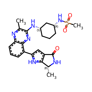 Cc1nc2cccc(-c3cc4c([nH]3)[C@@H](C)NC4=O)c2nc1N[C@H]1CCC[C@@H](NS(C)(=O)=O)C1